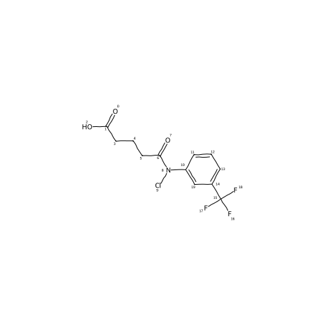 O=C(O)CCCC(=O)N(Cl)c1cccc(C(F)(F)F)c1